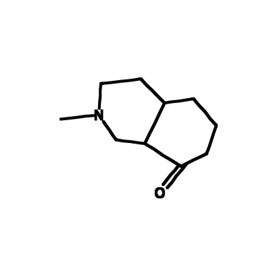 CN1CCC2CCCC(=O)C2C1